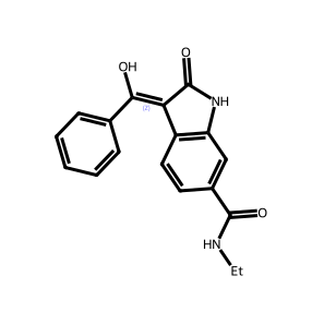 CCNC(=O)c1ccc2c(c1)NC(=O)/C2=C(\O)c1ccccc1